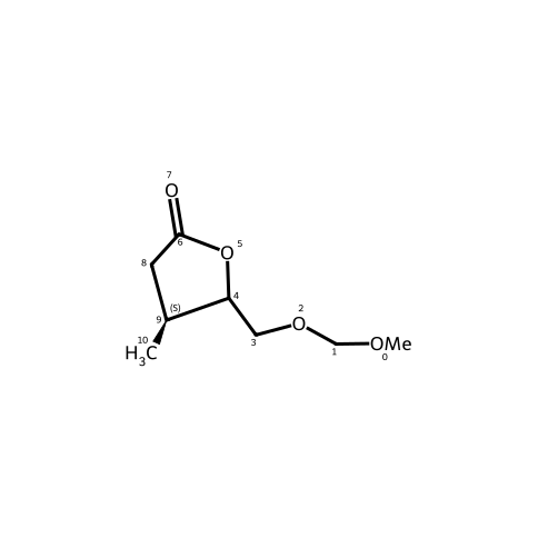 COCOCC1OC(=O)C[C@@H]1C